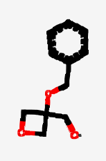 [O]CC1(OCc2ccccc2)COC1